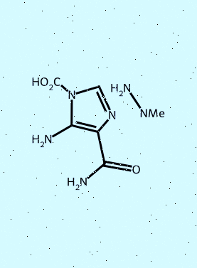 CNN.NC(=O)c1ncn(C(=O)O)c1N